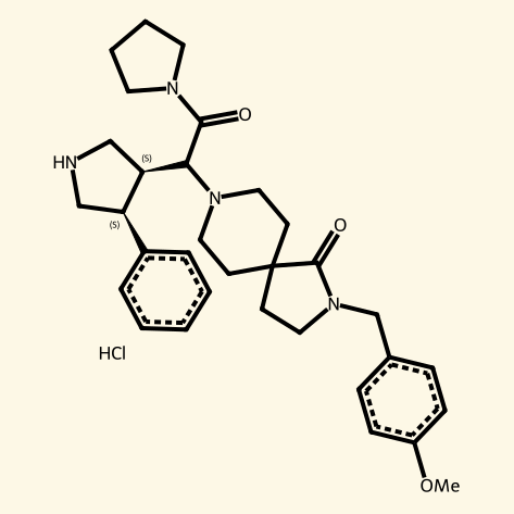 COc1ccc(CN2CCC3(CCN(C(C(=O)N4CCCC4)[C@@H]4CNC[C@@H]4c4ccccc4)CC3)C2=O)cc1.Cl